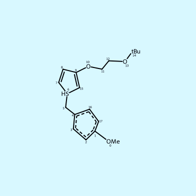 COc1ccc(C[SH]2C=CC(OCCOC(C)(C)C)=C2)cc1